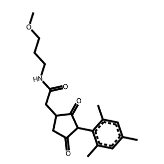 COCCCNC(=O)CC1CC(=O)C(c2c(C)cc(C)cc2C)C1=O